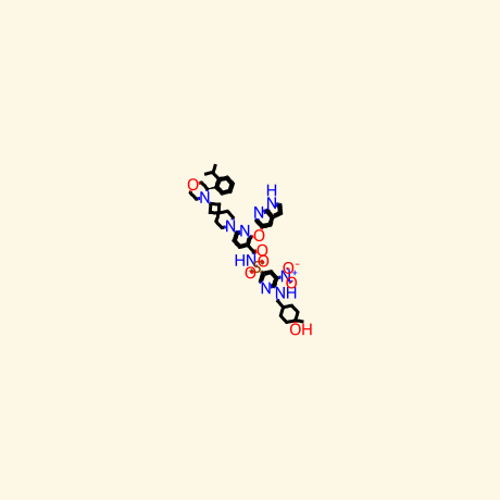 CC(C)c1ccccc1[C@@H]1COCCN1C1CC2(CCN(c3ccc(C(=O)NS(=O)(=O)c4cnc(NCC5CCC(C)(O)CC5)c([N+](=O)[O-])c4)c(Oc4cnc5[nH]ccc5c4)n3)CC2)C1